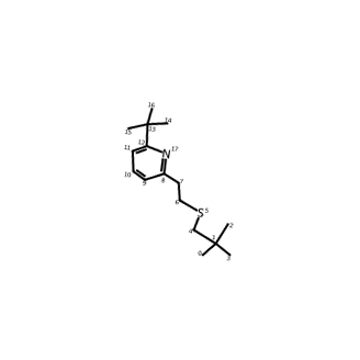 CC(C)(C)CSCCc1cccc(C(C)(C)C)n1